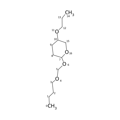 CCCCOCOC1CCC(OCCC)CO1